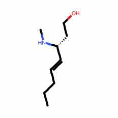 CCC/C=C/[C@@H](CCO)NC